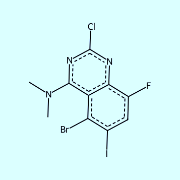 CN(C)c1nc(Cl)nc2c(F)cc(I)c(Br)c12